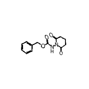 O=C(NN1C(=O)CCCC1=O)OCc1ccccc1